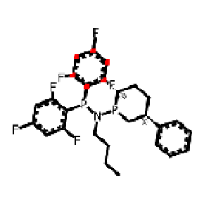 CCCCN(P(c1c(F)cc(F)cc1F)c1c(F)cc(F)cc1F)P1C[C@H](c2ccccc2)CC[C@H]1c1ccccc1